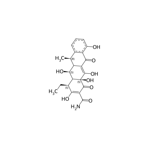 CC[C@@H]1C(O)=C(C(N)=O)C(=O)[C@@]2(O)C(O)=C3C(=O)c4c(O)cccc4[C@H](C)C3[C@H](O)C12